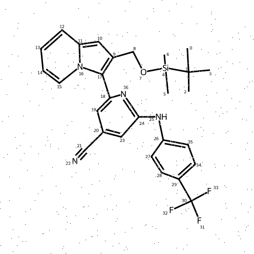 CC(C)(C)[Si](C)(C)OCc1cc2ccccn2c1-c1cc(C#N)cc(Nc2ccc(C(F)(F)F)cc2)n1